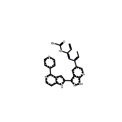 C=C/C(=C\C(=C/C)c1cnc2[nH]nc(-c3cc4c(-c5ccncc5)nccc4[nH]3)c2c1)NC(=O)C(C)(C)C